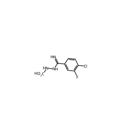 N=C(NNC(=O)O)c1ccc(Cl)c(F)c1